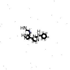 N=C/C=C\c1[nH]ncc1-c1ccnc(Nc2ccccc2)n1